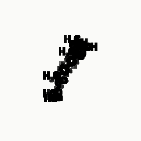 CNC(=O)C(C(=O)NO)N(C)C(=O)c1ccc(-c2ccc(N(C)C(=O)OCCOP(=O)(O)O)cc2)cc1